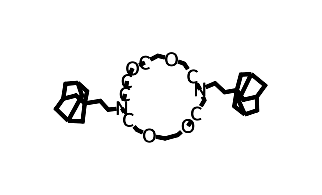 C1COCCN(CCC23CC4CC(CC(C4)C2)C3)CCOCCOCCN(CCC23CC4CC(CC(C4)C2)C3)CCO1